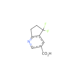 O=C(O)c1cnc2c(c1)C(F)(F)CC2